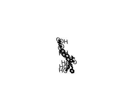 CC(C)C1=C2[C@H]3CC[C@@H]4[C@@]5(C)CC[C@H](OC(=O)CC(C)(C)C(=O)O)C(C)(C)[C@@H]5CC[C@@]4(C)[C@]3(C)CC[C@@]2([C@@H](O)CN(Cc2ccccc2)C(=O)C[C@H](O)CO)CC1=O